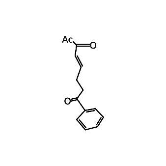 CC(=O)C(=O)C=CCCC(=O)c1ccccc1